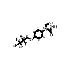 O=c1[nH]ncn1-c1ccc(OCC(F)(F)C(F)(F)F)cc1